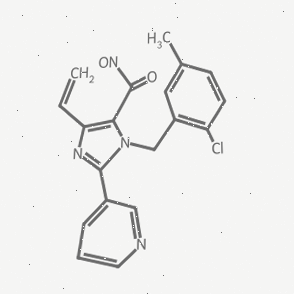 C=Cc1nc(-c2cccnc2)n(Cc2cc(C)ccc2Cl)c1C(=O)N=O